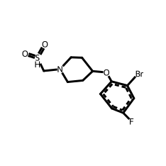 O=[SH](=O)CN1CCC(Oc2ccc(F)cc2Br)CC1